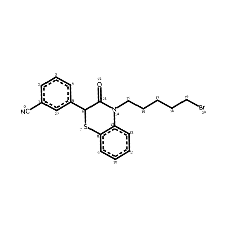 N#Cc1cccc(C2Sc3ccccc3N(CCCCCBr)C2=O)c1